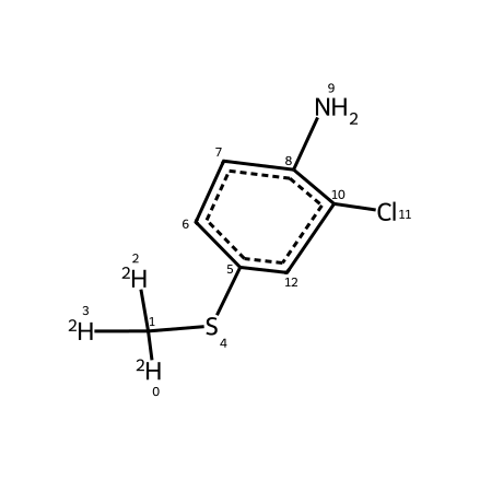 [2H]C([2H])([2H])Sc1ccc(N)c(Cl)c1